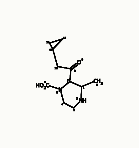 CC1NCCN(C(=O)O)C1C(=O)CC1CC1